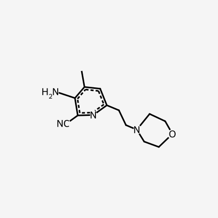 Cc1cc(CCN2CCOCC2)nc(C#N)c1N